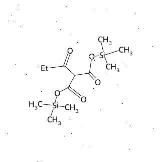 CCC(=O)C(C(=O)O[Si](C)(C)C)C(=O)O[Si](C)(C)C